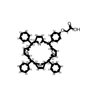 O=C(O)COc1ccc(-c2c3nc(c(-c4ccccc4)c4ccc(s4)c(-c4ccccc4)c4nc(c(-c5ccccc5)c5ccc2s5)C=C4)C=C3)cc1